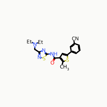 CCN(CC)Cc1nsc(NC(=O)c2cc(-c3cccc(C#N)c3)sc2C)n1